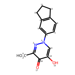 O=C(O)c1nn(-c2ccc3c(c2)CCC3)cc(O)c1=O